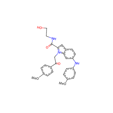 COc1ccc(Nc2ccc3cc(C(=O)NCCO)n(CC(=O)c4ccc(OC)cc4)c3c2)cc1